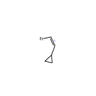 CC/C=C\C1CC1